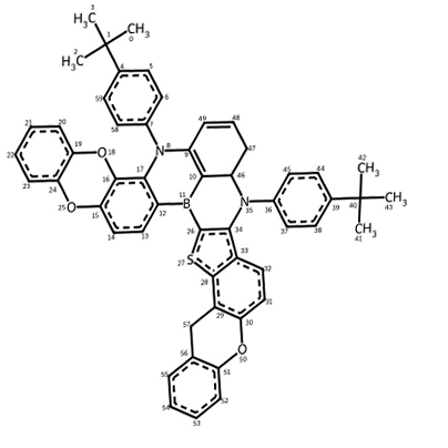 CC(C)(C)c1ccc(N2C3=C4B(c5ccc6c(c52)Oc2ccccc2O6)c2sc5c6c(ccc5c2N(c2ccc(C(C)(C)C)cc2)C4CC=C3)Oc2ccccc2C6)cc1